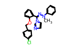 CN(N=C(c1ccccc1OCc1ccc(Cl)cc1)n1ccnc1)c1ccccc1